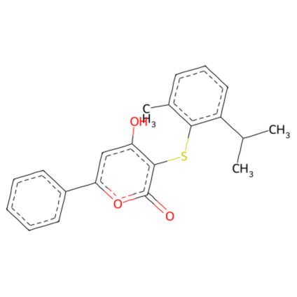 Cc1cccc(C(C)C)c1Sc1c(O)cc(-c2ccccc2)oc1=O